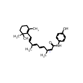 CC(C=CC1=C(C)CCCC1(C)C)=CC=C/C(C)=C\C(=O)Nc1ccc(O)cc1